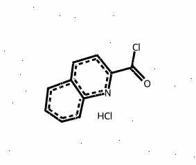 Cl.O=C(Cl)c1ccc2ccccc2n1